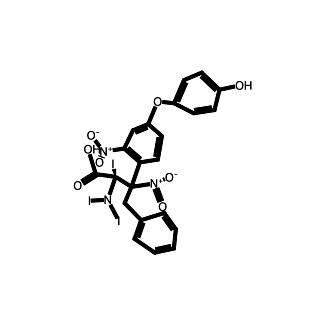 O=C(O)[C@@](I)(N(I)I)C(Cc1ccccc1)(c1ccc(Oc2ccc(O)cc2)cc1[N+](=O)[O-])[N+](=O)[O-]